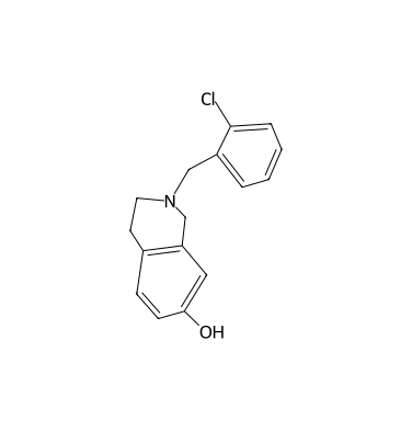 Oc1ccc2c(c1)CN(Cc1ccccc1Cl)CC2